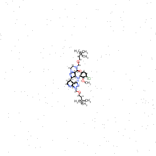 COc1c(Cl)cccc1Nc1c(-c2ccnc3c2cnn3COCC[Si](C)(C)C)nn2c1C(=O)N(COCC[Si](C)(C)C)CC2